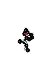 c1ccc(-c2cc(-c3ccc4c(c3)oc3ccccc34)nc(-c3cc(-c4ccccc4)c(-n4c5cc6ccccc6cc5c5ccc6ccccc6c54)c4ccccc34)n2)cc1